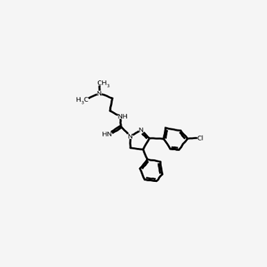 CN(C)CCNC(=N)N1CC(c2ccccc2)C(c2ccc(Cl)cc2)=N1